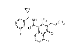 C=CCn1c(C)c(C(=O)N[C@H](c2cccc(F)c2)C2CC2)c2cccc(F)c2c1=O